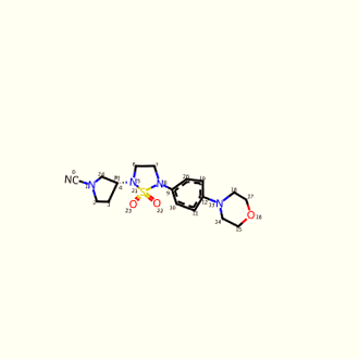 N#CN1CC[C@@H](N2CCN(c3ccc(N4CCOCC4)cc3)S2(=O)=O)C1